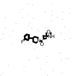 O=C([C@H]1C[C@]2(COCN2)C1)N1CCC(c2cccc(F)c2)CC1